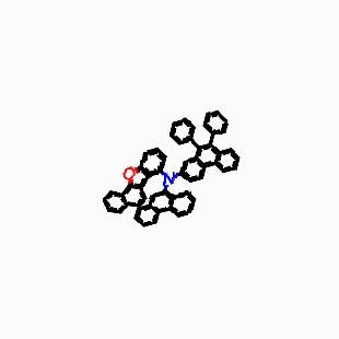 c1ccc(-c2c(-c3ccccc3)c3cc(N(c4cc5ccccc5c5ccccc45)c4cccc5oc6c7ccccc7ccc6c45)ccc3c3ccccc23)cc1